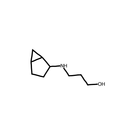 OCCCNC1CCC2CC21